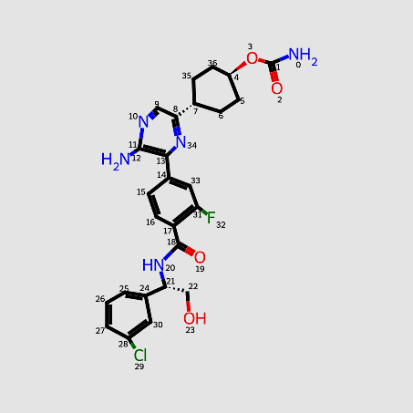 NC(=O)O[C@H]1CC[C@H](c2cnc(N)c(-c3ccc(C(=O)N[C@H](CO)c4cccc(Cl)c4)c(F)c3)n2)CC1